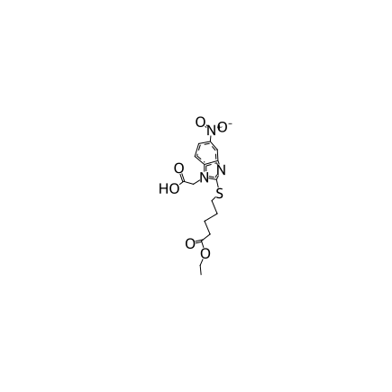 CCOC(=O)CCCCSc1nc2cc([N+](=O)[O-])ccc2n1CC(=O)O